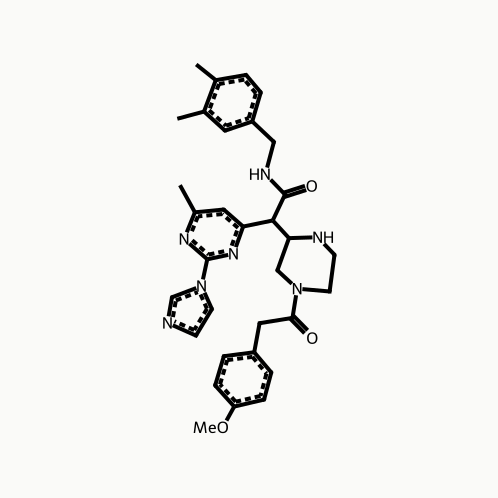 COc1ccc(CC(=O)N2CCNC(C(C(=O)NCc3ccc(C)c(C)c3)c3cc(C)nc(-n4ccnc4)n3)C2)cc1